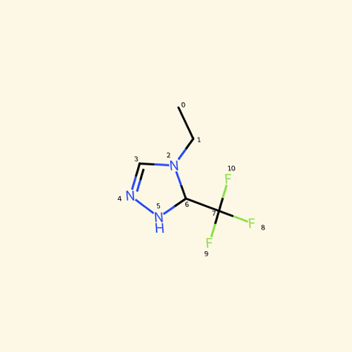 CCN1C=NNC1C(F)(F)F